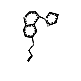 C=CCSc1ccc2nccc(-n3cccn3)c2c1